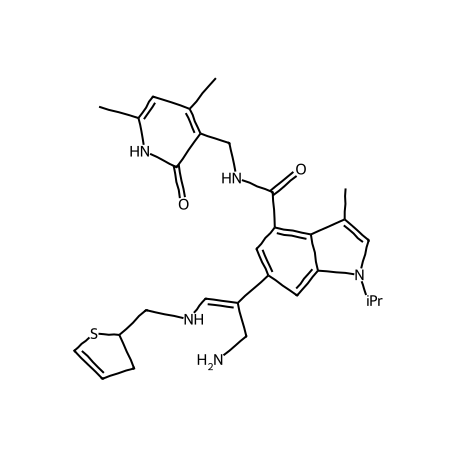 Cc1cc(C)c(CNC(=O)c2cc(/C(=C/NCC3CC=CS3)CN)cc3c2c(C)cn3C(C)C)c(=O)[nH]1